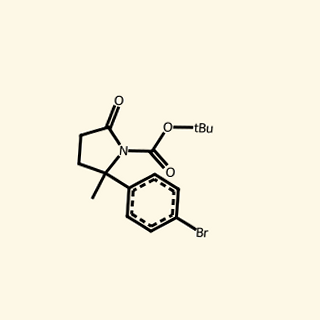 CC(C)(C)OC(=O)N1C(=O)CCC1(C)c1ccc(Br)cc1